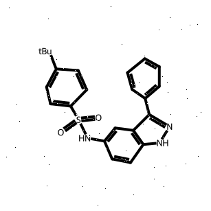 CC(C)(C)c1ccc(S(=O)(=O)Nc2ccc3[nH]nc(-c4ccccc4)c3c2)cc1